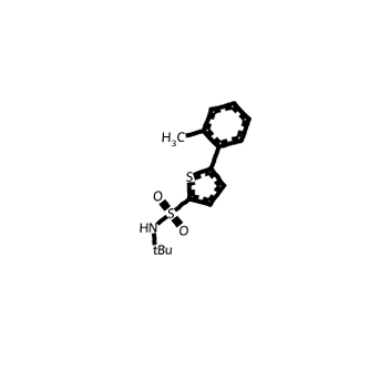 Cc1ccccc1-c1ccc(S(=O)(=O)NC(C)(C)C)s1